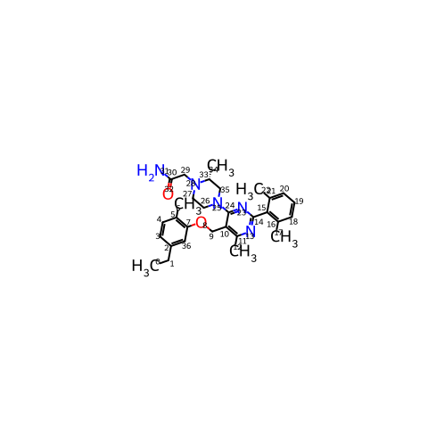 CCc1ccc(C)c(OCc2c(C)nc(-c3c(C)cccc3C)nc2N2CCN(CC(N)=O)[C@H](C)C2)c1